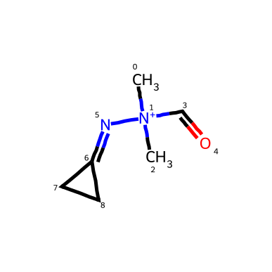 C[N+](C)(C=O)N=C1CC1